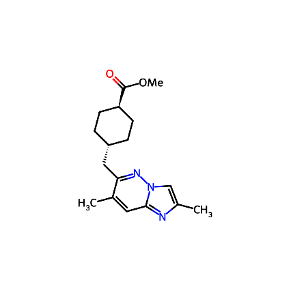 COC(=O)[C@H]1CC[C@H](Cc2nn3cc(C)nc3cc2C)CC1